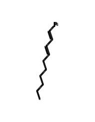 CCCCCCC=CC=C[P]